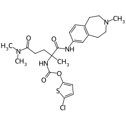 CN1CCc2ccc(NC(=O)C(C)(CCC(=O)N(C)C)NC(=O)Oc3ccc(Cl)s3)cc2CC1